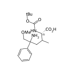 COCC(N)(CC(C)[C@H](NC(=O)OC(C)(C)C)C(=O)O)c1ccccc1